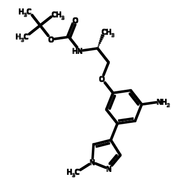 C[C@H](COc1cc(N)cc(-c2cnn(C)c2)c1)NC(=O)OC(C)(C)C